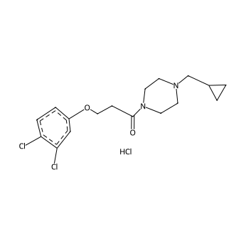 Cl.O=C(CCOc1ccc(Cl)c(Cl)c1)N1CCN(CC2CC2)CC1